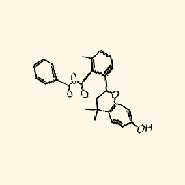 Cc1cccc(C2CC(C)(C)c3ccc(O)cc3O2)c1C(=O)OC(=O)c1ccccc1